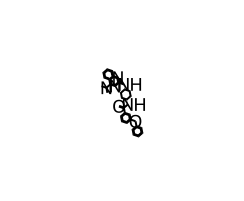 CN(C)c1nc(N[C@H]2CC[C@@H](NC(=O)c3cccc(Oc4ccccc4)c3)CC2)nc2ccccc12